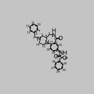 O=C1NCC2CN(Cc3ccccc3)CCN2c2ccc(NS(=O)(=O)c3ccccc3)cc21